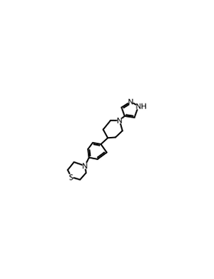 c1cc(N2CCSCC2)ccc1C1CCN(c2cn[nH]c2)CC1